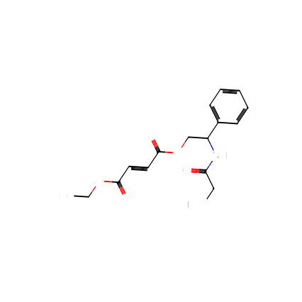 CCOC(=O)/C=C/C(=O)OCC(NC(=O)CC)c1ccccc1